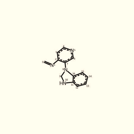 C=Nc1ccncc1N1CNc2ccccc21